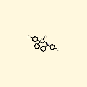 O=C1OC(c2ccccc2)(c2ccc(Cl)cc2)CC1/C=C(\c1ccccc1)c1ccc(Cl)cc1